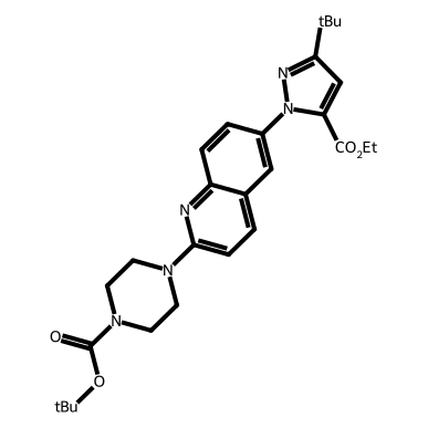 CCOC(=O)c1cc(C(C)(C)C)nn1-c1ccc2nc(N3CCN(C(=O)OC(C)(C)C)CC3)ccc2c1